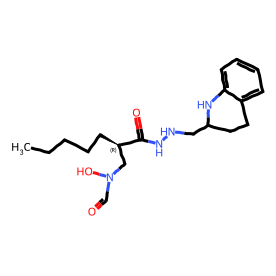 CCCCC[C@H](CN(O)C=O)C(=O)NNCC1CCc2ccccc2N1